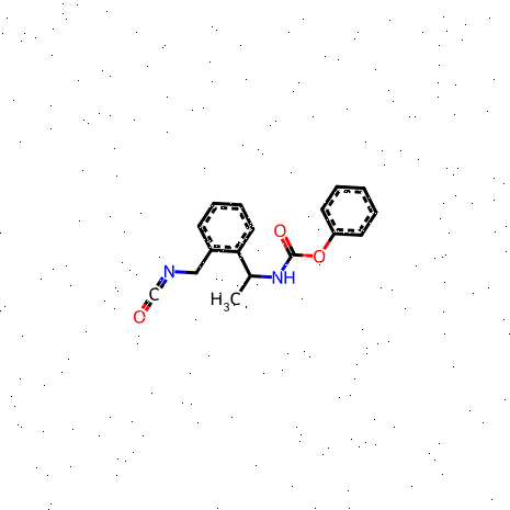 CC(NC(=O)Oc1ccccc1)c1ccccc1CN=C=O